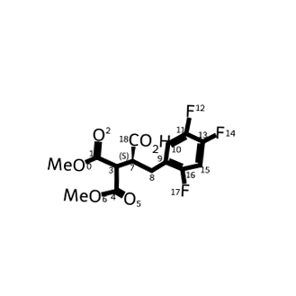 COC(=O)C(C(=O)OC)[C@H](Cc1cc(F)c(F)cc1F)C(=O)O